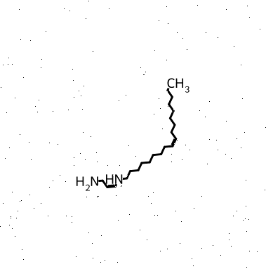 CCCCCCCC/C=C\CCCCCCCCN/C=C\CN